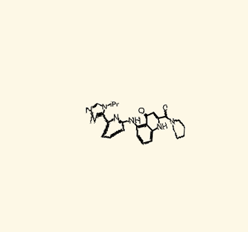 CC(C)n1cnnc1-c1cccc(Nc2cccc3[nH]c(C(=O)N4CCCCC4)cc(=O)c23)n1